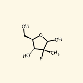 C[C@]1(F)C(O)O[C@H](CO)[C@H]1O